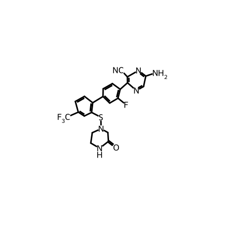 N#Cc1nc(N)cnc1-c1ccc(-c2ccc(C(F)(F)F)cc2SN2CCNC(=O)C2)cc1F